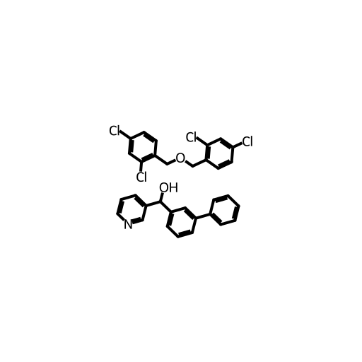 Clc1ccc(COCc2ccc(Cl)cc2Cl)c(Cl)c1.OC(c1cccnc1)c1cccc(-c2ccccc2)c1